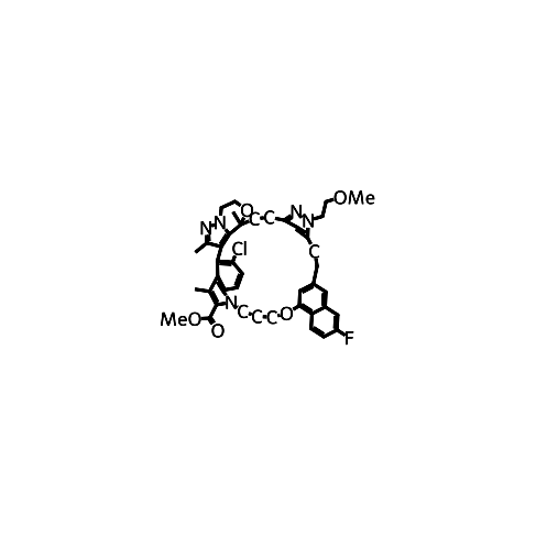 COCCn1nc2cc1CCc1cc(c3ccc(F)cc3c1)OCCCn1c(C(=O)OC)c(C)c3c(c(Cl)ccc31)-c1c(C)nn3c1C(C)(CC2)OCC3